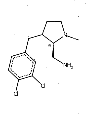 CN1CCC(Cc2ccc(Cl)c(Cl)c2)[C@@H]1CN